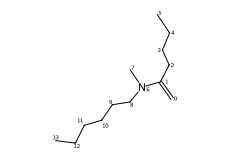 C=C(CCCC)N(C)CCCCCC